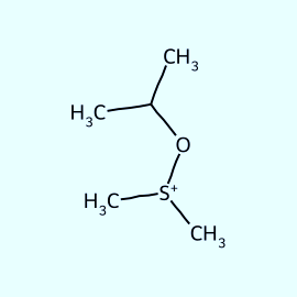 CC(C)O[S+](C)C